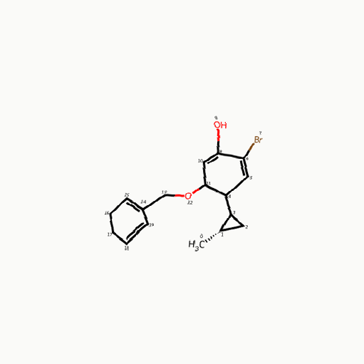 C[C@H]1CC1C1C=C(Br)C(O)=CC1OCC1=CCCC=C1